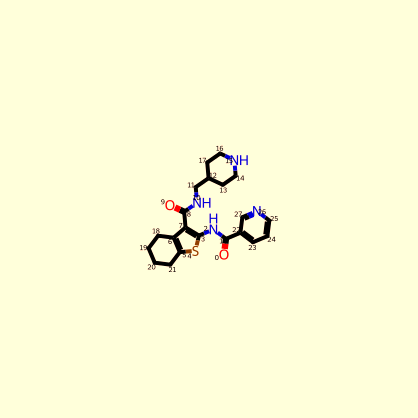 O=C(Nc1sc2c(c1C(=O)NCC1CCNCC1)CCCC2)c1cccnc1